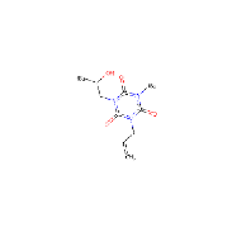 C=CCn1c(=O)n(CC(O)C(C)(C)C)c(=O)n(C(C)(C)C)c1=O